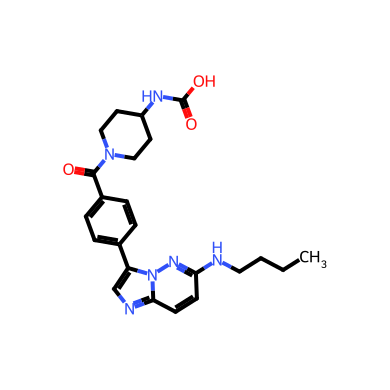 CCCCNc1ccc2ncc(-c3ccc(C(=O)N4CCC(NC(=O)O)CC4)cc3)n2n1